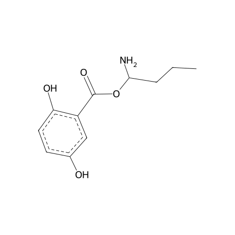 CCCC(N)OC(=O)c1cc(O)ccc1O